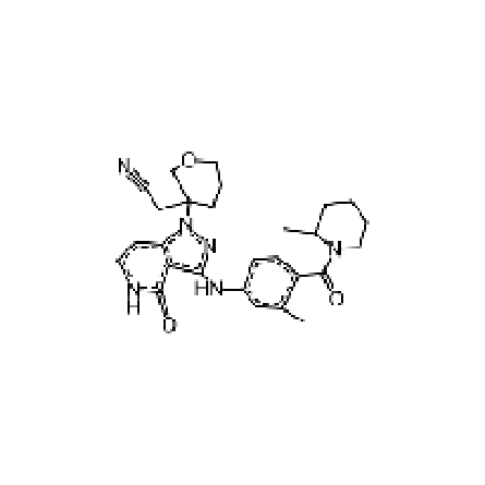 Cc1cc(Nc2nn(C3(CC#N)CCCOC3)c3cc[nH]c(=O)c23)ccc1C(=O)N1CCCCC1C